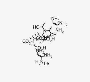 CC(=O)O.CC(=O)O.CC(=O)O.CC(=O)O.CC(=O)O.CC(O)N(CC(=O)O)C(C)O.NC=C(N)N.NC=C(N)N.[Fe]